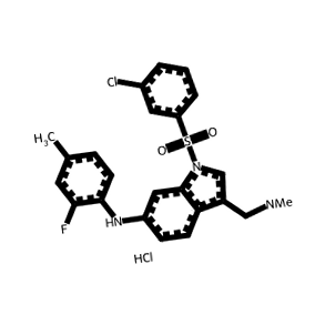 CNCc1cn(S(=O)(=O)c2cccc(Cl)c2)c2cc(Nc3ccc(C)cc3F)ccc12.Cl